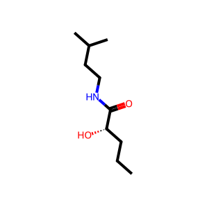 CCC[C@H](O)C(=O)NCCC(C)C